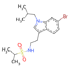 CC(C)Cn1cc(CCNS(=O)(=O)C(C)C)c2ccc(Br)cc21